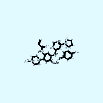 C=CC(=O)Nc1cc(Nc2cc(N3OCC[C@@H]3c3cc(F)ccc3F)ncn2)c(OC)cc1N1CCN(C(C)=O)CC1